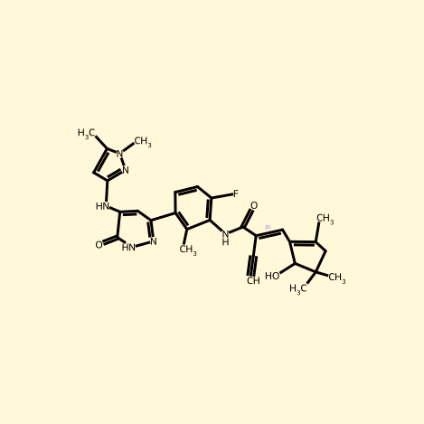 C#C/C(=C\C1=C(C)CC(C)(C)C1O)C(=O)Nc1c(F)ccc(-c2cc(Nc3cc(C)n(C)n3)c(=O)[nH]n2)c1C